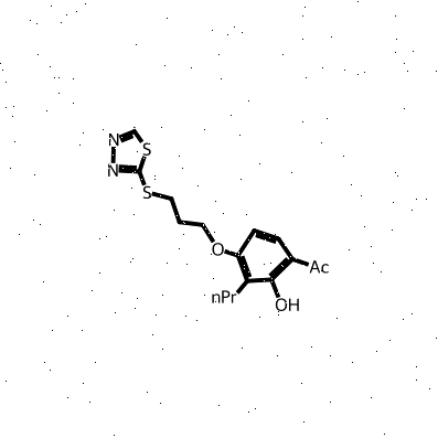 CCCc1c(OCCCSc2nn[c]s2)ccc(C(C)=O)c1O